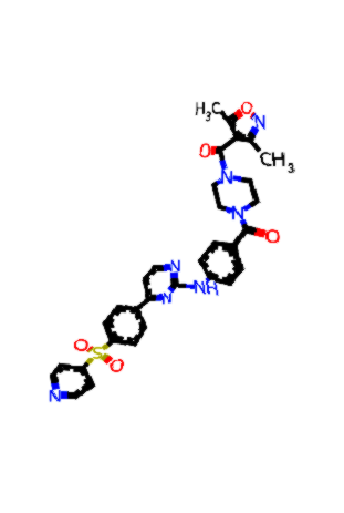 Cc1noc(C)c1C(=O)N1CCN(C(=O)c2ccc(Nc3nccc(-c4ccc(S(=O)(=O)c5ccncc5)cc4)n3)cc2)CC1